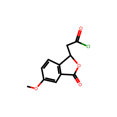 COc1ccc2c(c1)C(=O)OC2CC(=O)Cl